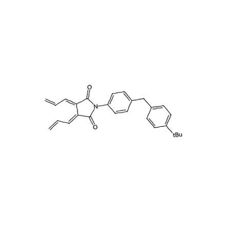 C=C/C=C1/C(=O)N(c2ccc(Cc3ccc(C(C)(C)C)cc3)cc2)C(=O)/C1=C/C=C